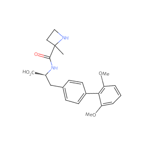 COc1cccc(OC)c1-c1ccc(C[C@H](NC(=O)C2(C)CCN2)C(=O)O)cc1